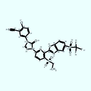 CCS(=O)(=O)c1ccc(-n2ncn(-c3ccc(Cl)c(C#N)c3)c2=O)nc1-c1nc2cc(S(=O)(=O)C(F)(F)F)ccc2o1